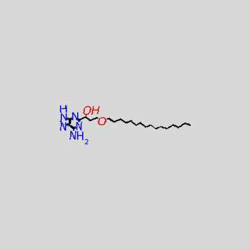 CCCCCCCCCCCCCCCCOCCC(O)c1nc(N)c2nc[nH]c2n1